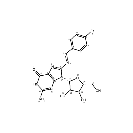 CCc1ccc(/N=N/c2nc3c(=O)[nH]c(N)nc3n2[C@@H]2O[C@H](CO)C(O)C2O)cc1